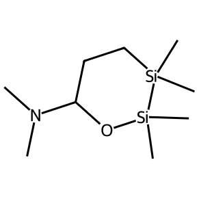 CN(C)C1CC[Si](C)(C)[Si](C)(C)O1